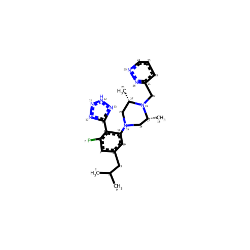 CC(C)Cc1cc(F)c(-c2nn[nH]n2)c(N2C[C@@H](C)N(Cc3cccnn3)[C@@H](C)C2)c1